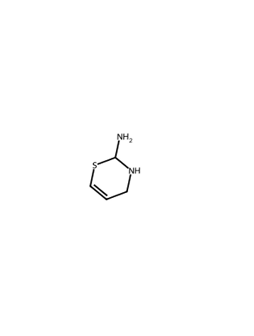 NC1NCC=CS1